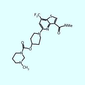 CNC(=O)c1csc2c(C(F)(F)F)cc(N3CCC(OC(=O)N4CCCN(C)C4)CC3)nc12